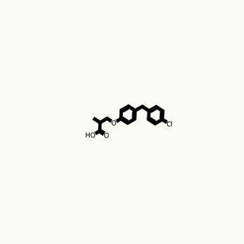 CC(COc1ccc(Cc2ccc(Cl)cc2)cc1)C(=O)O